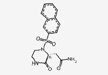 NC(=O)C[C@@H]1C(=O)NCCN1S(=O)(=O)c1ccc2ccccc2c1